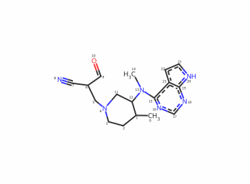 CC1CCN(CC(C#N)C=O)CC1N(C)c1ncnc2[nH]ccc12